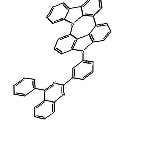 c1ccc(-c2nc(-c3cccc(-n4c5cccc6c7cccc8c9ccccc9n(c9cccc4c9c65)c78)c3)nc3ccccc23)cc1